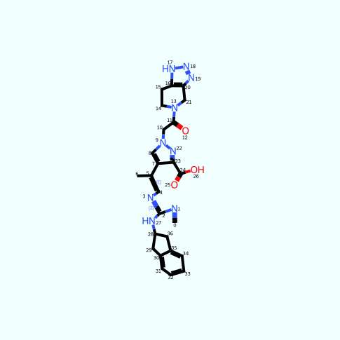 C=N/C(=N\C=C(/C)c1cn(CC(=O)N2CCc3[nH]nnc3C2)nc1C(=O)O)NC1Cc2ccccc2C1